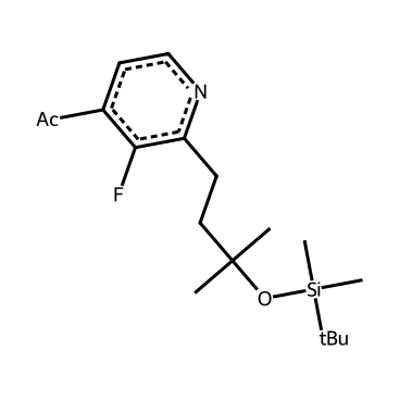 [CH2]C(=O)c1ccnc(CCC(C)(C)O[Si](C)(C)C(C)(C)C)c1F